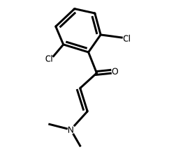 CN(C)/C=C/C(=O)c1c(Cl)cccc1Cl